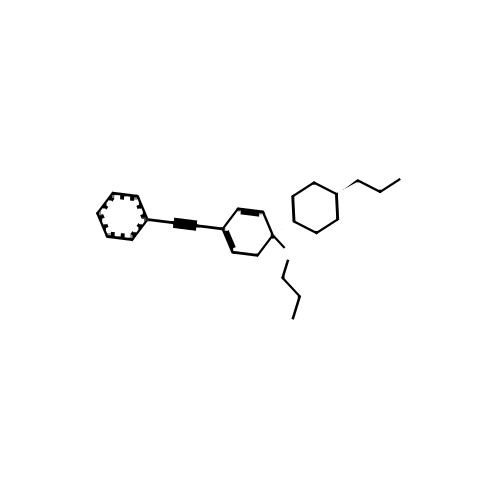 CCCOC1([C@H]2CC[C@H](CCC)CC2)C=CC(C#Cc2ccccc2)=CC1